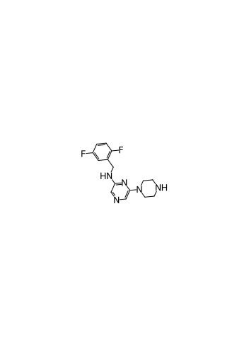 Fc1ccc(F)c(CNc2cncc(N3CCNCC3)n2)c1